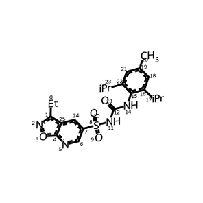 CCc1noc2ncc(S(=O)(=O)NC(=O)Nc3c(C(C)C)cc(C)cc3C(C)C)cc12